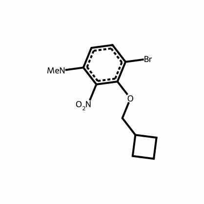 CNc1ccc(Br)c(OCC2CCC2)c1[N+](=O)[O-]